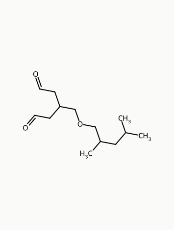 CC(C)CC(C)COCC(CC=O)CC=O